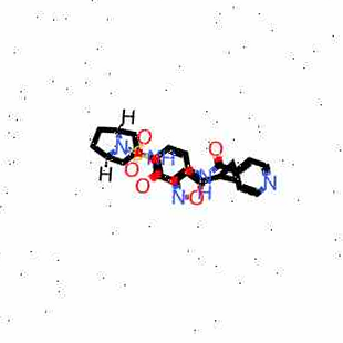 O=C(Nc1ccc(S(=O)(=O)N2[C@@H]3CC[C@H]2C[C@H](NC(=O)c2cc(C4CC4)on2)C3)cc1)c1ccncc1